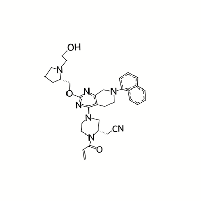 C=CC(=O)N1CCN(c2nc(OC[C@@H]3CCCN3CCO)nc3c2CCN(c2cccc4ccccc24)C3)C[C@@H]1CC#N